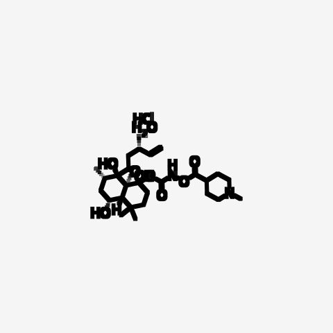 C=C[C@@H](C)CC(=O)[C@@]1(O)[C@@H](C)C[C@@H](O)[C@H]2C(C)(C)CC[C@@](O)(OC(=O)NOC(=O)C3CCN(C)CC3)[C@@]21C.Cl.O